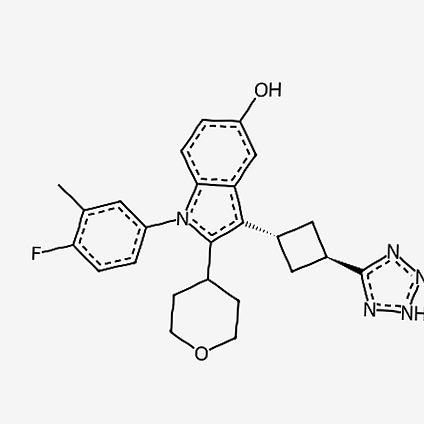 Cc1cc(-n2c(C3CCOCC3)c([C@H]3C[C@H](c4nn[nH]n4)C3)c3cc(O)ccc32)ccc1F